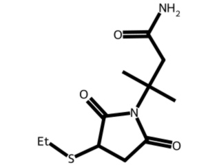 CCSC1CC(=O)N(C(C)(C)CC(N)=O)C1=O